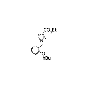 CCCCOc1ccccc1Cn1ccc(C(=O)OCC)n1